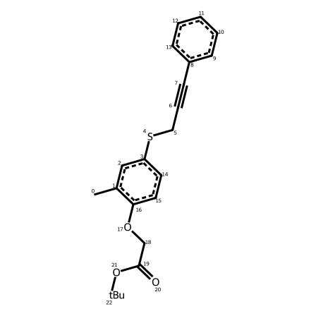 Cc1cc(SCC#Cc2ccccc2)ccc1OCC(=O)OC(C)(C)C